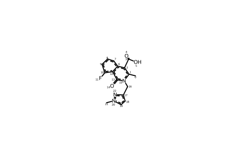 Cc1c(C(=O)O)c2cccc(F)c2c(=O)n1Cc1ccn(C)n1